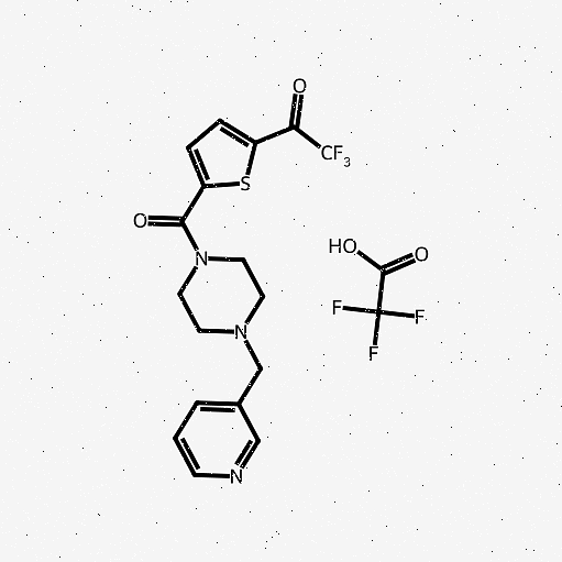 O=C(O)C(F)(F)F.O=C(c1ccc(C(=O)C(F)(F)F)s1)N1CCN(Cc2cccnc2)CC1